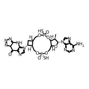 C[C@@H]1[C@@H]2OP(=O)(S)OC[C@H]3C[C@@H](n4cnc5c4NC4=NN=NC4C5=O)[C@@H]3COP(=O)(S)OC[C@H]2O[C@H]1n1cnc2c(N)ncnc21